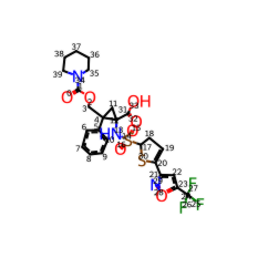 O=C(OCC1(c2ccccc2)CC1(NS(=O)(=O)C1CC=C(c2cc(C(F)(F)F)on2)S1)C(=O)O)N1CCCCC1